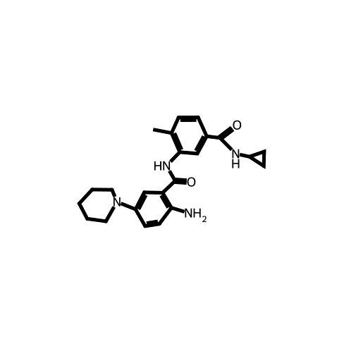 Cc1ccc(C(=O)NC2CC2)cc1NC(=O)c1cc(N2CCCCC2)ccc1N